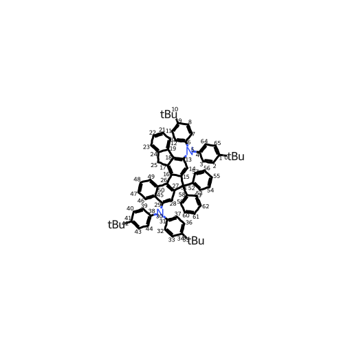 CC(C)(C)c1ccc(N(c2ccc(C(C)(C)C)cc2)c2cc3c(c4c2-c2ccccc2C4)-c2c(cc(N(c4ccc(C(C)(C)C)cc4)c4ccc(C(C)(C)C)cc4)c4ccccc24)C3(c2ccccc2)c2ccccc2)cc1